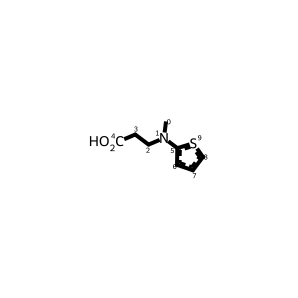 CN(CCC(=O)O)c1cccs1